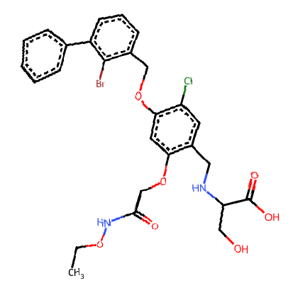 CCONC(=O)COc1cc(OCc2cccc(-c3ccccc3)c2Br)c(Cl)cc1CNC(CO)C(=O)O